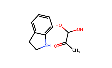 CC(=O)C(O)O.c1ccc2c(c1)CCN2